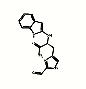 NC(=O)[C@H](Cc1c[nH]c(C=O)n1)Nc1cc2ccccc2[nH]1